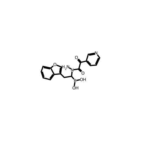 NN(C(=O)C(=O)c1cccnc1)C(Cc1coc2ccccc12)B(O)O